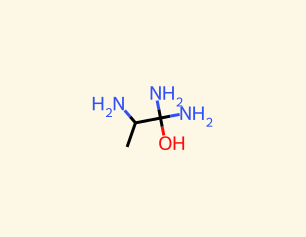 CC(N)C(N)(N)O